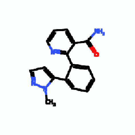 Cn1nccc1-c1ccccc1-c1ncccc1C(N)=O